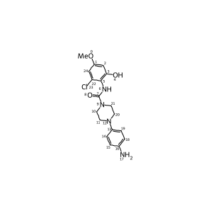 COc1cc(O)c(NC(=O)N2CCN(c3ccc(N)cc3)CC2)c(Cl)c1